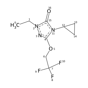 CCn1nc(OCC(F)(F)F)n(C2CC2)c1=O